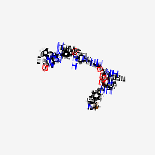 CC[C@@H]1C(=O)N(C)c2cnc(Nc3ccc(C(=O)NC4CCN(CCNCCOCC(=O)NC(C(=O)N5CCC[C@H]5C(=O)NCc5ccc(-c6scnc6C)cc5)C(C)(C)C)CC4)cc3OC)nc2N1C1CCCC1